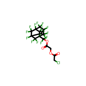 O=C(CCl)OCC(=O)OC(F)(F)C12C(F)(F)C3(F)C(F)(F)C(F)(C(F)(F)C(F)(C3(F)F)C1(F)F)C2(F)F